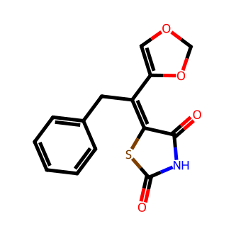 O=C1NC(=O)C(=C(Cc2ccccc2)C2=COCO2)S1